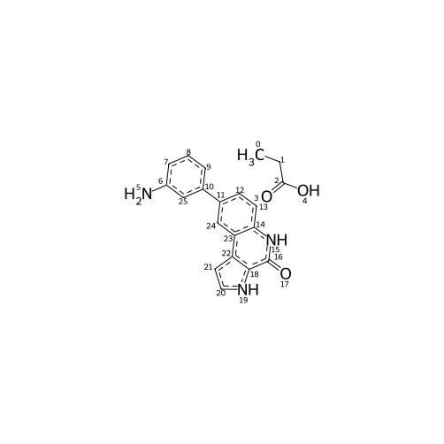 CCC(=O)O.Nc1cccc(-c2ccc3[nH]c(=O)c4[nH]ccc4c3c2)c1